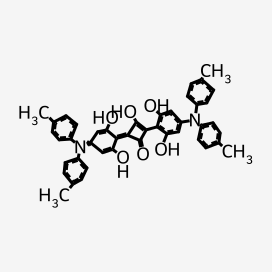 Cc1ccc(N(c2ccc(C)cc2)c2cc(O)c(C3=C(O)C(=C4C(O)=CC(=[N+](c5ccc(C)cc5)c5ccc(C)cc5)C=C4O)C3=O)c(O)c2)cc1